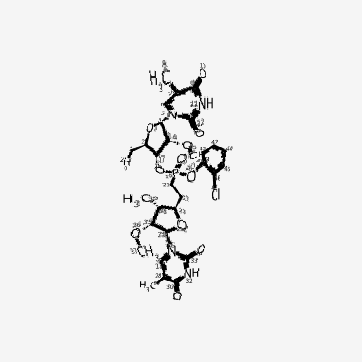 [2H]C[C@H]1O[C@@H](n2cc(C)c(=O)[nH]c2=O)[C@H](OC)[C@@H]1OP(=O)(CC[C@H]1O[C@@H](n2cc(C)c(=O)[nH]c2=O)[C@H](OC)[C@@H]1C)Oc1ccccc1Cl